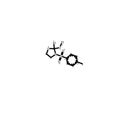 CCOC1(CC)OCCN1S(=O)(=O)c1ccc(C)cc1